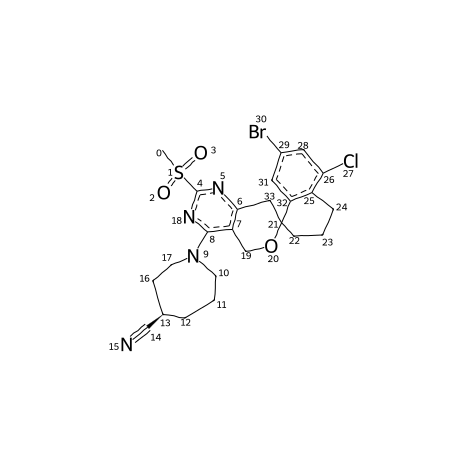 CS(=O)(=O)c1nc2c(c(N3CCC[C@@H](C#N)CC3)n1)COC1(CCCc3c(Cl)cc(Br)cc31)C2